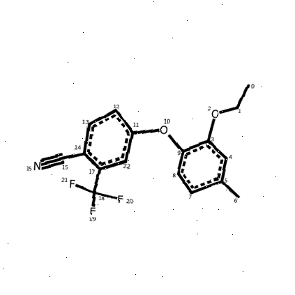 CCOc1cc(C)ccc1Oc1ccc(C#N)c(C(F)(F)F)c1